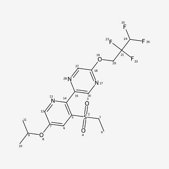 CCS(=O)(=O)c1cc(OC(C)C)cnc1-c1cnc(OCC(F)(F)C(F)F)cn1